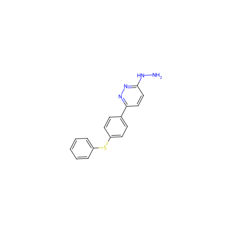 NNc1ccc(-c2ccc(Sc3ccccc3)cc2)nn1